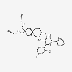 C#CCOCC1(COCC#C)COC2(CCN(CC3=C(C(C)=O)C(c4ccc(F)cc4Cl)N=C(c4ccccn4)N3)CC2)OC1